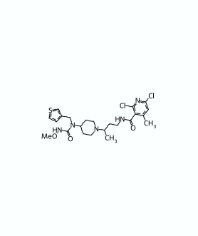 CONC(=O)N(Cc1ccsc1)C1CCN(C(C)CCNC(=O)c2c(C)cc(Cl)nc2Cl)CC1